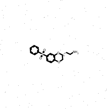 NCC[C@@H]1COc2ccc(S(=O)(=O)c3ccccc3)cc2O1